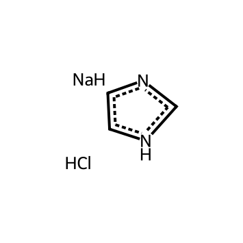 Cl.[NaH].c1c[nH]cn1